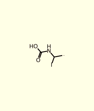 [CH2]C(I)NC(=O)O